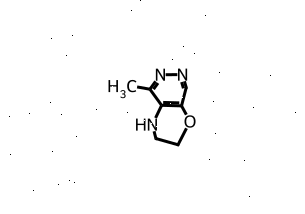 Cc1nncc2c1NCCO2